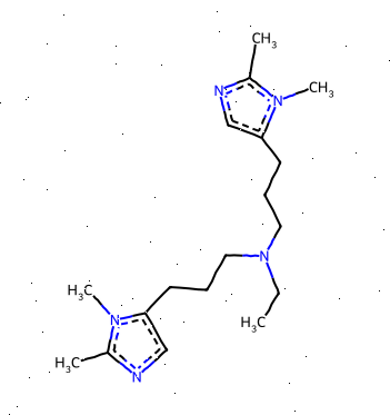 CCN(CCCc1cnc(C)n1C)CCCc1cnc(C)n1C